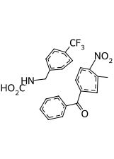 Cc1cc(C(=O)c2ccccc2)ccc1[N+](=O)[O-].O=C(O)NCc1ccc(C(F)(F)F)cc1